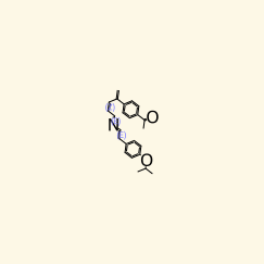 C=C(\C=C/C=N/C=C/c1ccc(OC(C)C)cc1)c1ccc(C(C)=O)cc1